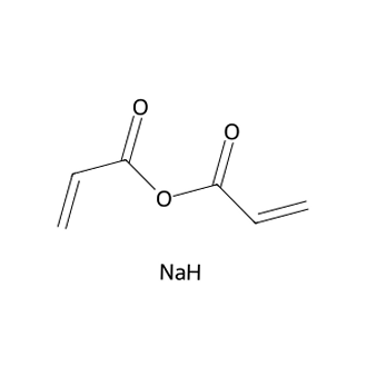 C=CC(=O)OC(=O)C=C.[NaH]